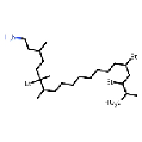 CCC(CCCCCCCCC(C)C(C)(CC)CCC(C)CCN)CC(CC)C(C)C(=O)O